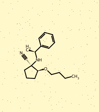 CCCCO[C@H]1CCC[C@@]1(C#N)N[C@@H](C)c1ccccc1